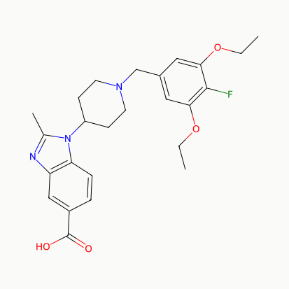 CCOc1cc(CN2CCC(n3c(C)nc4cc(C(=O)O)ccc43)CC2)cc(OCC)c1F